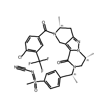 C[C@@H]1Cc2nn3c(c2CN1C(=O)c1ccc(Cl)c(C(F)(F)F)c1)C(=O)N([C@H](C)c1ccc(S(C)(=O)=NC#N)cc1)C[C@H]3C